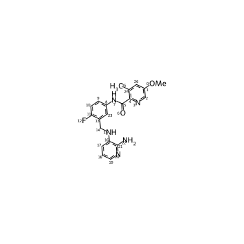 COc1cnc(C(=O)Nc2ccc(F)c(CNc3cccnc3N)c2)c(C)c1